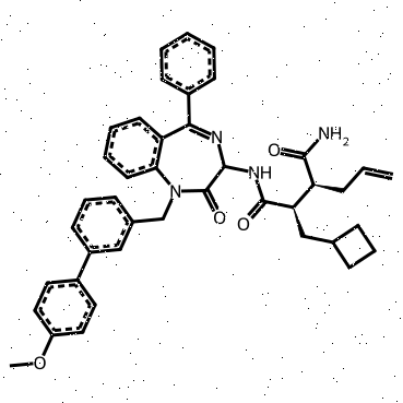 C=CC[C@H](C(N)=O)[C@@H](CC1CCC1)C(=O)NC1N=C(c2ccccc2)c2ccccc2N(Cc2cccc(-c3ccc(OC)cc3)c2)C1=O